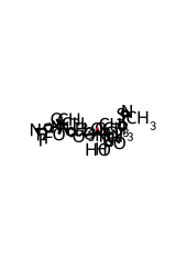 Cc1ncsc1-c1ccc(CNC(=O)[C@@H]2C[C@@H](O)CN2C(=O)[C@@H](NC(=O)COCCOc2ccc(N3C(=O)N(c4ccc(C#N)c(C(F)(F)F)c4)C(=O)C3(C)C)cc2)C(C)(C)C)cc1